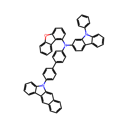 c1ccc(-n2c3ccccc3c3ccc(N(c4ccc(-c5ccc(-n6c7ccccc7c7cc8ccccc8cc76)cc5)cc4)c4cccc5oc6ccccc6c45)cc32)cc1